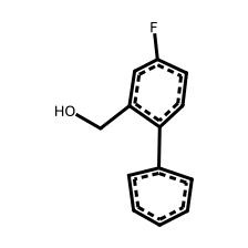 OCc1cc(F)ccc1-c1ccccc1